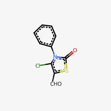 O=Cc1sc(=O)n(-c2ccccc2)c1Cl